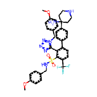 COc1ccc(CNS(=O)(=O)c2c(C(F)(F)F)ccc(-c3ccc(C4(N)CCNCC4)cc3)c2-c2nnnn2Cc2ccc(OC)cc2)cc1